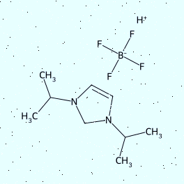 CC(C)N1C=CN(C(C)C)C1.F[B-](F)(F)F.[H+]